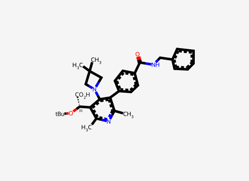 Cc1nc(C)c([C@H](OC(C)(C)C)C(=O)O)c(N2CC(C)(C)C2)c1-c1ccc(C(=O)NCc2ccccc2)cc1